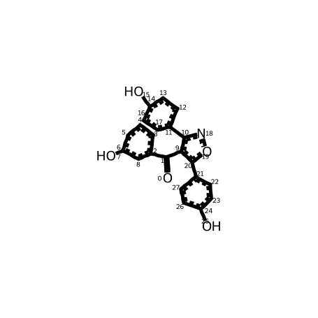 O=C(c1cccc(O)c1)c1c(-c2ccc(O)cc2)noc1-c1ccc(O)cc1